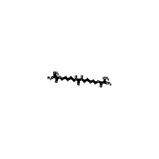 C=C(C)C(=O)OCCCCCNC(=O)NCCCCCOC(=O)C(=C)C